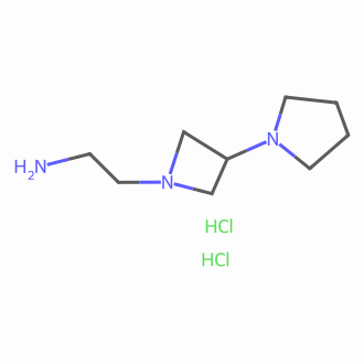 Cl.Cl.NCCN1CC(N2CCCC2)C1